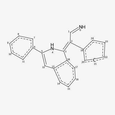 N=C/C(=C1\NC(c2ccccc2)=Cc2ccccc21)c1ccccc1